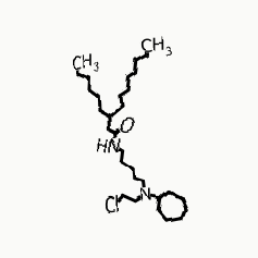 CCCCCCCCC(CCCCCC)CC(=O)NCCCCCN(CCCl)C1CCCCCC1